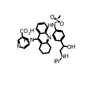 CC(C)NCC(O)c1ccc(NS(C)(=O)=O)cc1.Nc1c2c(nc3ccccc13)CCCC2.O=C(O)c1cccnc1